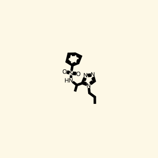 CCCn1cnnc1C(C)NS(=O)(=O)c1ccccc1